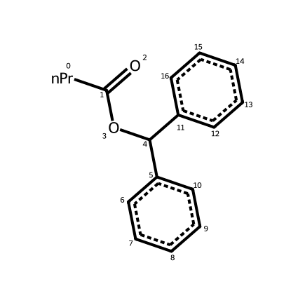 CCCC(=O)OC(c1ccccc1)c1ccccc1